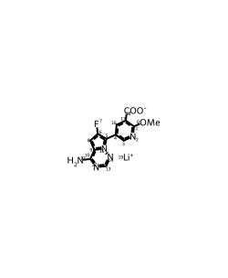 COc1ncc(-c2c(F)cc3c(N)ncnn23)cc1C(=O)[O-].[Li+]